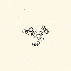 CCOc1cccc(N2CCC3(CC2)CN(C2CCNC2)C(=O)c2nc(-c4cccnc4OCC)ccc23)c1C(F)(F)F